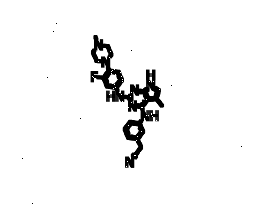 Cc1c[nH]c2nc(Nc3ccc(N4CCN(C)CC4)c(F)c3)nc(Nc3cccc(CC#N)c3)c12